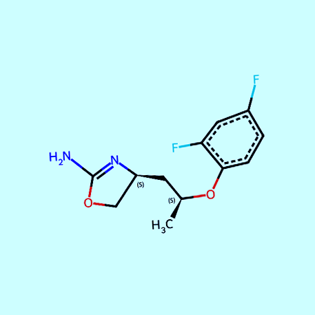 C[C@@H](C[C@H]1COC(N)=N1)Oc1ccc(F)cc1F